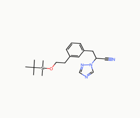 CC(C)(C)[Si](C)(C)OCCc1cccc(CC(C#N)n2cncn2)c1